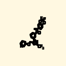 CN(C(=O)c1cccc(-n2nc(C(F)(F)F)cc2COc2cccnc2)c1)c1ccc2c(c1)OC(F)(F)O2